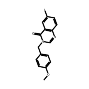 COc1ccc(Cn2cnc3ccc(I)cc3c2=O)cc1